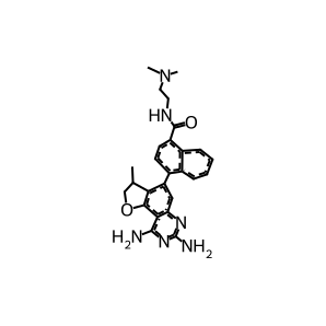 CC1COc2c1c(-c1ccc(C(=O)NCCN(C)C)c3ccccc13)cc1nc(N)nc(N)c21